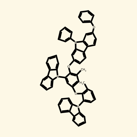 Cc1cccc(-n2c3ccccc3c3ccccc32)c1Oc1cc(C)c(Oc2ccc3c4ccc(Oc5ccccc5)cc4n(-c4ccccc4)c3c2)c(-n2c3ccccc3c3ccccc32)c1